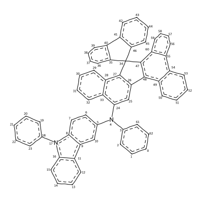 c1ccc(N(c2ccc3c(c2)c2ccccc2n3-c2ccccc2)c2cc3c(c4ccccc24)C2(c4ccccc4-c4ccccc42)c2c-3c3ccccc3c3ccccc23)cc1